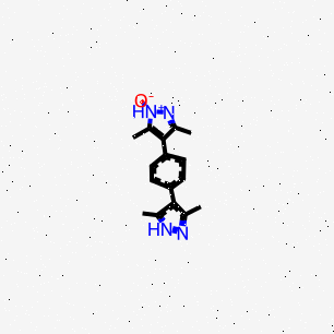 CC1=N[NH+]([O-])C(C)=C1c1ccc(-c2c(C)n[nH]c2C)cc1